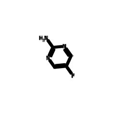 Nc1n[c]c(F)cn1